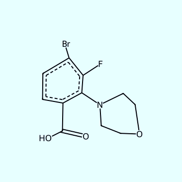 O=C(O)c1ccc(Br)c(F)c1N1CCOCC1